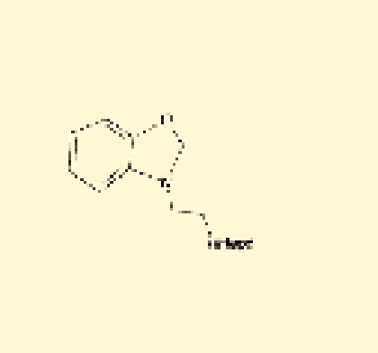 CCCCCCCCCN1COc2ccccc21